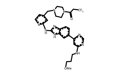 COCCCNc1cc(-c2ccc3nc(Nc4cc(CN5CCN(C(=O)CC(F)(F)F)CC5)ccn4)[nH]c3c2)ncn1